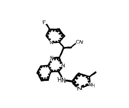 Cc1cc(Nc2nc(C(CC#N)c3ccc(F)cn3)nc3ccccc23)n[nH]1